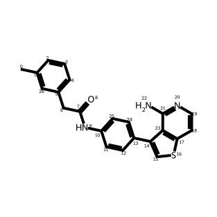 Cc1cccc(CC(=O)Nc2ccc(-c3csc4ccnc(N)c34)cc2)c1